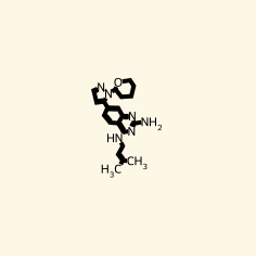 CC(C)=CCNc1nc(N)nc2cc(-c3ccnn3C3CCCCO3)ccc12